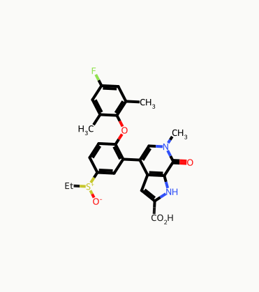 CC[S+]([O-])c1ccc(Oc2c(C)cc(F)cc2C)c(-c2cn(C)c(=O)c3[nH]c(C(=O)O)cc23)c1